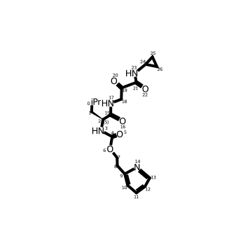 CC(C)C[C@H](NC(=O)OCCc1ccccn1)C(=O)NCC(=O)C(=O)NC1CC1